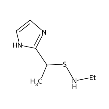 CCNSC(C)c1ncc[nH]1